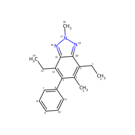 CCc1c(C)c(-c2ccccc2)c(CC)c2nn(C)nc12